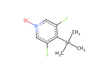 [CH3][Sn]([CH3])([CH3])[c]1c(F)c[n+]([O-])cc1F